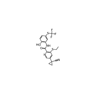 CCSc1cc(C2(C#N)CC2)cnc1C(=O)Nc1cc(SC(F)(F)F)ccc1O